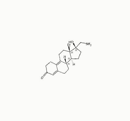 CC[C@]12CCC3=C4CCC(=O)C=C4CC[C@H]3[C@@H]1CC[C@@]2(O)CN